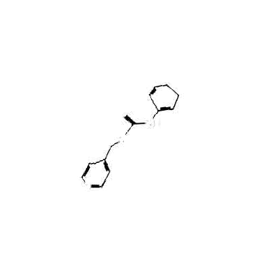 S=C(NCc1ccncc1)NC1=CC[CH]C=C1